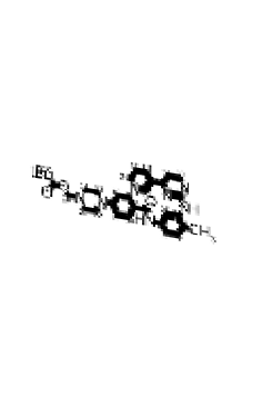 Cc1ccc(NC(=O)c2ccc(N3CCN(COC(=O)C(C)(C)C)CC3)cc2)cc1Nc1nccc(-c2cccnc2)n1